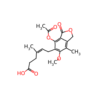 COc1c(C)c2c(c(OC(C)=O)c1CC=C(C)CCC(=O)O)C(=O)OC2